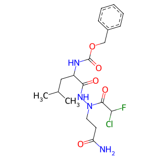 CC(C)CC(NC(=O)OCc1ccccc1)C(=O)NN(CCC(N)=O)C(=O)C(F)Cl